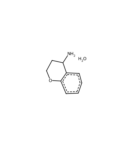 NC1CCOc2ccccc21.O